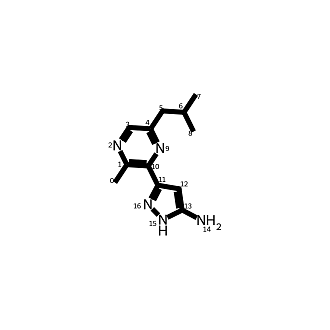 Cc1ncc(CC(C)C)nc1-c1cc(N)[nH]n1